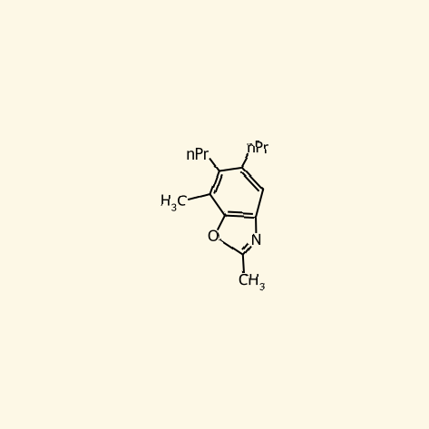 CCCc1cc2nc(C)oc2c(C)c1CCC